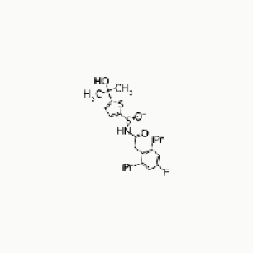 CC(C)c1cc(F)cc(C(C)C)c1CC(=O)N[S+]([O-])c1ccc(C(C)(C)O)s1